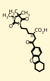 CN1C(=O)N(CCC[C@H](CC(=O)c2ccc3c4c(oc3c2)CCCC4)C(=O)O)C(=O)C1(C)C